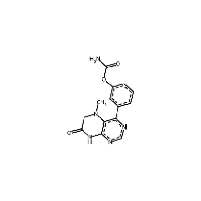 CN1CC(=O)Nc2ncnc(-c3cccc(OC(N)=O)c3)c21